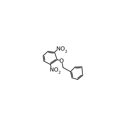 O=[N+]([O-])c1cccc([N+](=O)[O-])c1OCc1ccccc1